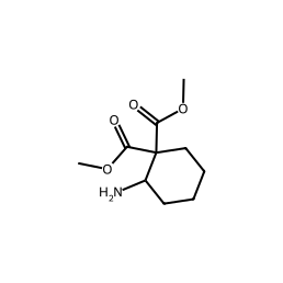 COC(=O)C1(C(=O)OC)CCCCC1N